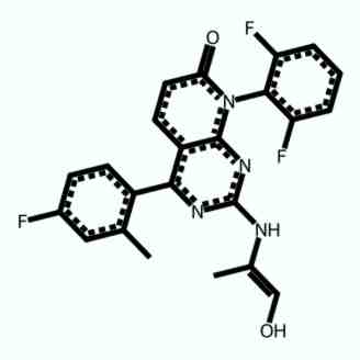 C/C(=C\O)Nc1nc(-c2ccc(F)cc2C)c2ccc(=O)n(-c3c(F)cccc3F)c2n1